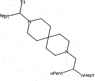 CCCCCCCC(CCCCC)CN1CCC2(CC1)CCN(C(CC)CCCCCCC)CC2